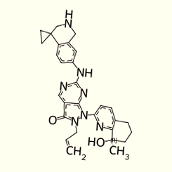 C=CCn1c(=O)c2cnc(Nc3ccc4c(c3)CNCC43CC3)nc2n1-c1ccc2c(n1)[C@](C)(O)CCC2